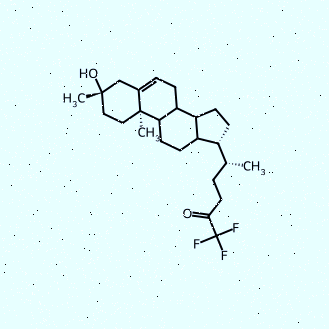 C[C@H](CCC(=O)C(F)(F)F)[C@H]1CCC2C3CC=C4C[C@@](C)(O)CC[C@]4(C)C3CCC21